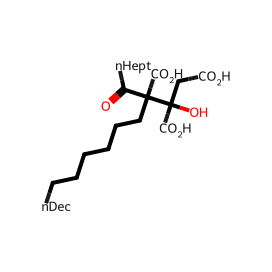 CCCCCCCCCCCCCCCCC(C(=O)O)(C(=O)CCCCCCC)C(O)(CC(=O)O)C(=O)O